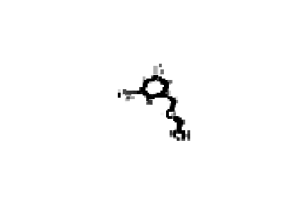 C[C@H]1CNC[C@@H](COCO)C1